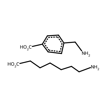 NCCCCCCC(=O)O.NCc1ccc(C(=O)O)cc1